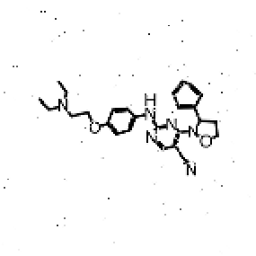 CCN(CC)CCOc1ccc(Nc2ncc(C#N)c(N3OCCC3c3ccccc3)n2)cc1